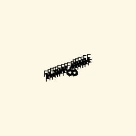 FC(F)C(F)(F)C(F)(F)C(F)(F)C(F)(F)C(F)(F)C(F)(F)C(F)c1ccc2ccccc2c1C(F)C(F)(F)C(F)(F)C(F)(F)C(F)(F)C(F)(F)C(F)(F)C(F)F